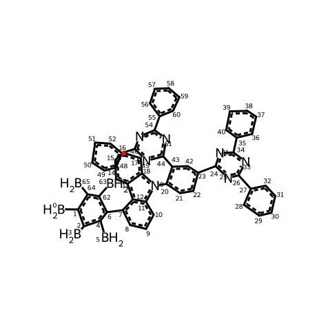 Bc1c(B)c(B)c(-c2cccc3c2c2ccccc2n3-c2ccc(-c3nc(-c4ccccc4)nc(-c4ccccc4)n3)cc2-c2nc(-c3ccccc3)nc(-c3ccccc3)n2)c(B)c1B